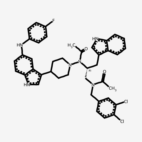 CC(=O)N(Cc1ccc(Cl)c(Cl)c1)C[C@@H](Cc1c[nH]c2ccccc12)N(C(C)=O)N1CCC(c2c[nH]c3ccc(Nc4ccc(F)cc4)cc23)CC1